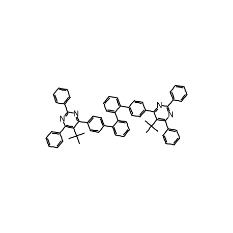 CC(C)(C)c1c(-c2ccccc2)nc(-c2ccccc2)nc1-c1ccc(-c2ccccc2-c2ccccc2-c2ccc(-c3nc(-c4ccccc4)nc(-c4ccccc4)c3C(C)(C)C)cc2)cc1